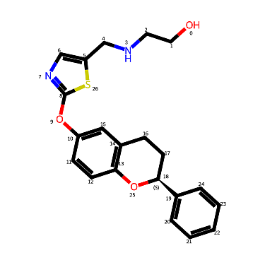 OCCNCc1cnc(Oc2ccc3c(c2)CC[C@@H](c2ccccc2)O3)s1